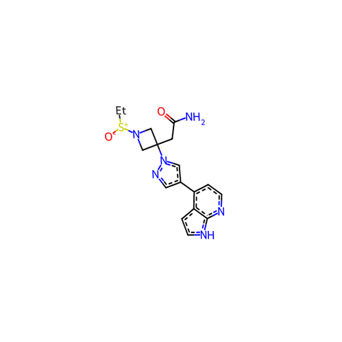 CC[S+]([O-])N1CC(CC(N)=O)(n2cc(-c3ccnc4[nH]ccc34)cn2)C1